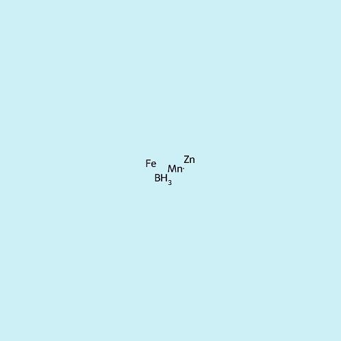 B.[Fe].[Mn].[Zn]